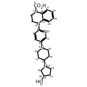 O=C(O)N1CCN(c2ccc(N3CCC(N4CC[C@@H](O)C4)CC3)cn2)c2ccccc21